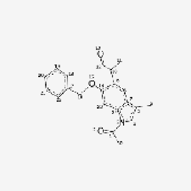 CC(=O)n1cc(C)c2cc(C(C)C=O)c(OCc3ccccc3)cc21